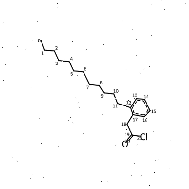 CCCCCCCCCCCCc1ccccc1CC(=O)Cl